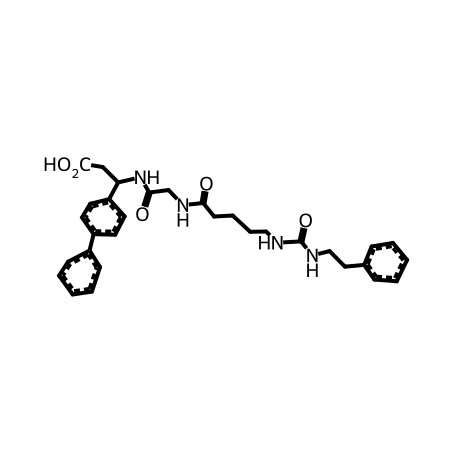 O=C(O)CC(NC(=O)CNC(=O)CCCCNC(=O)NCCc1ccccc1)c1ccc(-c2ccccc2)cc1